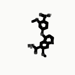 COc1cc2nccc(Oc3ccc([N+](=O)[O-])c(OC)c3)c2cc1C(N)=O